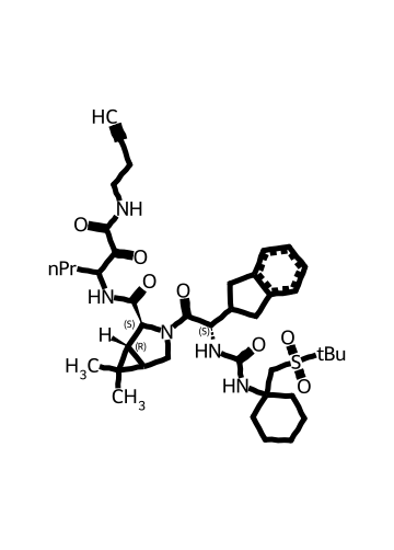 C#CCCNC(=O)C(=O)C(CCC)NC(=O)[C@@H]1[C@@H]2C(CN1C(=O)[C@@H](NC(=O)NC1(CS(=O)(=O)C(C)(C)C)CCCCC1)C1Cc3ccccc3C1)C2(C)C